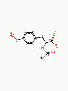 CC(=O)N[C@@H](Cc1ccc(CO)cc1)C(=O)O